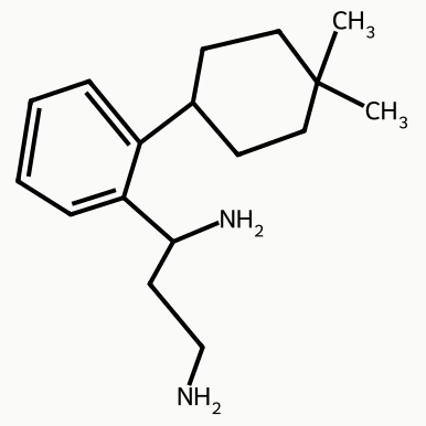 CC1(C)CCC(c2ccccc2C(N)CCN)CC1